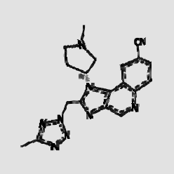 Cc1nnn(Cc2nc3cnc4ccc(C#N)cc4c3n2[C@@H]2CCN(C)C2)n1